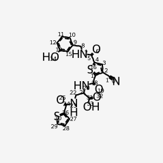 N#Cc1cc(C(=O)NCc2cccc(O)c2)sc1C(=O)NC(CNC(=O)c1cccs1)C(=O)O